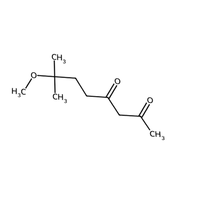 COC(C)(C)CCC(=O)CC(C)=O